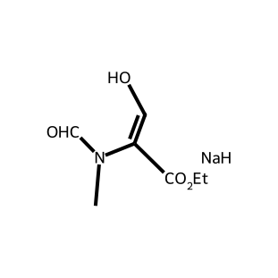 CCOC(=O)C(=CO)N(C)C=O.[NaH]